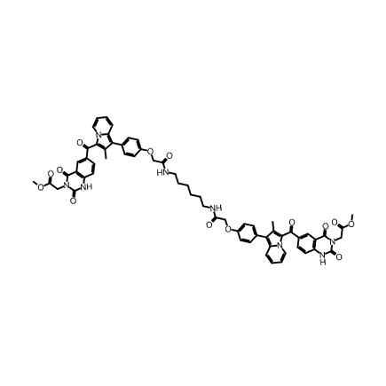 COC(=O)Cn1c(=O)[nH]c2ccc(C(=O)c3c(C)c(-c4ccc(OCC(=O)NCCCCCCNC(=O)COc5ccc(-c6c(C)c(C(=O)c7ccc8[nH]c(=O)n(CC(=O)OC)c(=O)c8c7)n7ccccc67)cc5)cc4)c4ccccn34)cc2c1=O